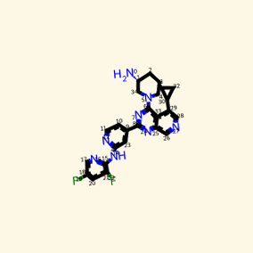 N[C@@H]1CCCN(c2nc(-c3ccnc(Nc4ncc(F)cc4F)c3)nc3cncc(C4CC4)c23)C1